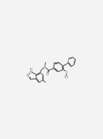 CCOc1cc(C(=O)N(C)Cc2cc(C)cc3cn[nH]c23)ccc1-c1ccccc1